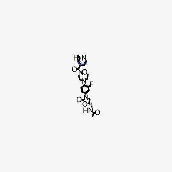 C=C/C=C(\C=C/N)C(=O)N1CCN(c2ccc(N3C[C@H](CNC(C)=O)OC3=O)cc2F)CCO1